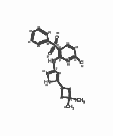 CC1(C)CC(c2cc(Nc3nc(Cl)ccc3S(=O)(=O)c3ccccc3)n[nH]2)C1